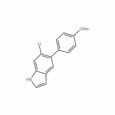 COc1ccc(-c2cc3cc[nH]c3cc2Cl)cc1